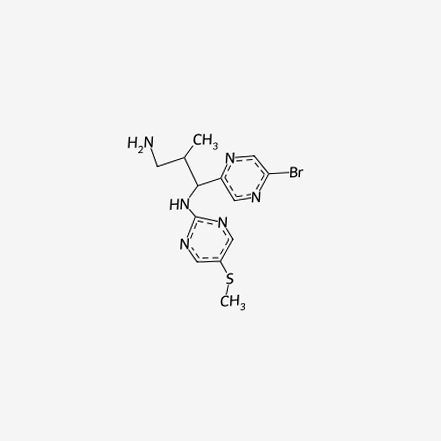 CSc1cnc(NC(c2cnc(Br)cn2)C(C)CN)nc1